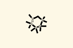 C[SiH]1C[Si](C)(C)[Si](C)(C)[Si](C)(C)[Si]1(C)C